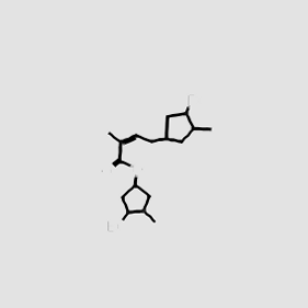 CCC1CC(CC=C(C)C(=O)OC2CC(C)C(CC)C2)CC1C